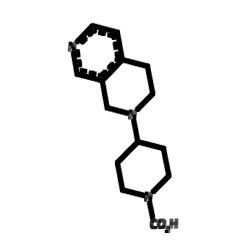 O=C(O)N1CCC(N2CCc3ccncc3C2)CC1